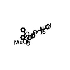 COC(=O)[C@H](Cc1ccc(OCCc2nc(-c3ccncc3)sc2C)cc1)Nc1ccccc1C(=O)c1ccccc1